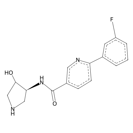 O=C(N[C@H]1CNCC1O)c1ccc(-c2cccc(F)c2)nc1